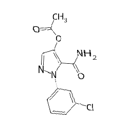 CC(=O)Oc1cnn(-c2cccc(Cl)c2)c1C(N)=O